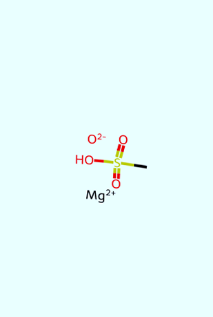 CS(=O)(=O)O.[Mg+2].[O-2]